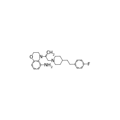 C=C(CN1CCC(CCc2ccc(F)cc2)CC1)N1CCOc2cccc(N)c21